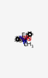 CCc1ccccc1C(=O)OC1CN(C)C[N+]1([O-])c1nc2ccccc2s1